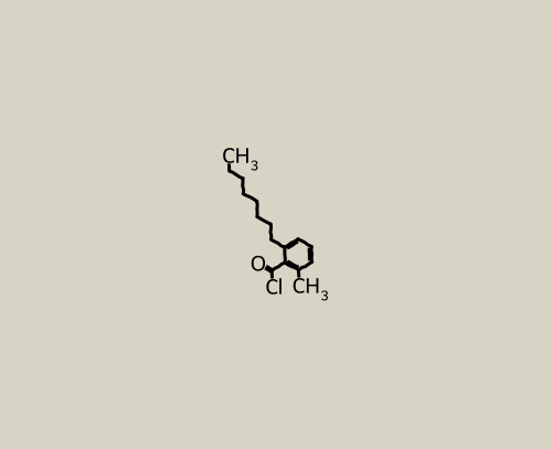 CCCCCCCCc1cccc(C)c1C(=O)Cl